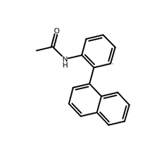 CC(=O)Nc1ccc[c]c1-c1cccc2ccccc12